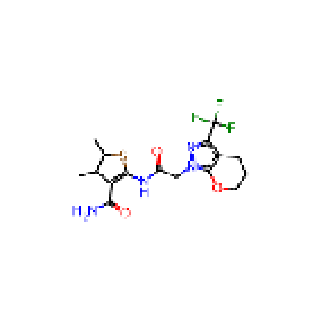 CC1SC(NC(=O)Cn2nc(C(F)(F)F)c3c2OCCC3)=C(C(N)=O)C1C